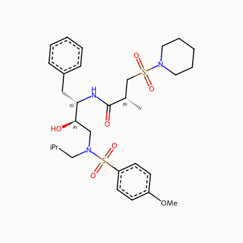 COc1ccc(S(=O)(=O)N(CC(C)C)C[C@@H](O)[C@H](Cc2ccccc2)NC(=O)[C@@H](C)CS(=O)(=O)N2CCCCC2)cc1